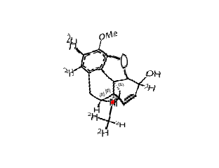 [2H]c1c([2H])c(OC)c2c3c1C[C@@H]1[C@@H]4C=CC([2H])(O)C(O2)[C@]34CCN1C([2H])([2H])[2H]